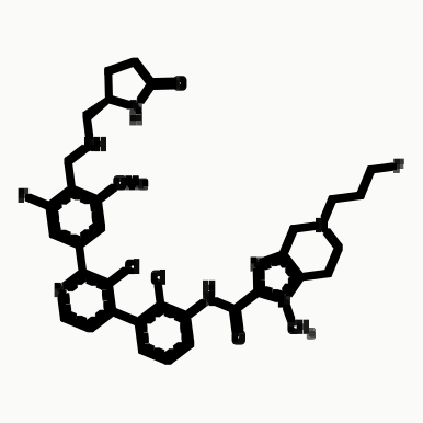 COc1cc(-c2nccc(-c3cccc(NC(=O)c4nc5c(n4C)CCN(CCCF)C5)c3Cl)c2Cl)cc(F)c1CNC[C@H]1CCC(=O)N1